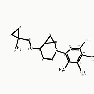 Cc1c(N2CCC(OCC3(C)CC3)C3CC32)nc(Cl)c(C#N)c1C